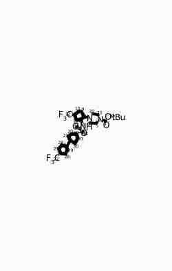 CC(C)(C)OC(=O)N1CCN(c2ccc(C(F)(F)F)cc2NS(=O)(=O)c2ccc(-c3ccc(C(F)(F)F)cc3)cc2)CC1